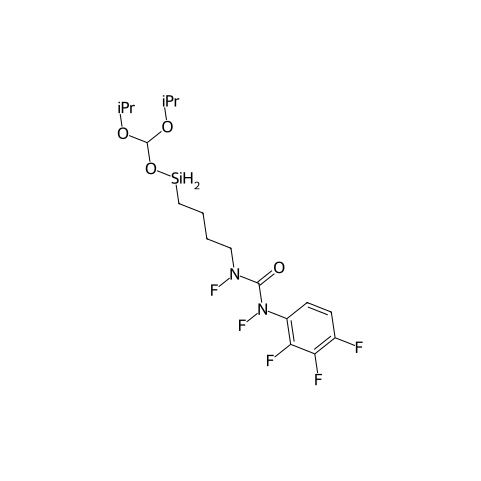 CC(C)OC(O[SiH2]CCCCN(F)C(=O)N(F)c1ccc(F)c(F)c1F)OC(C)C